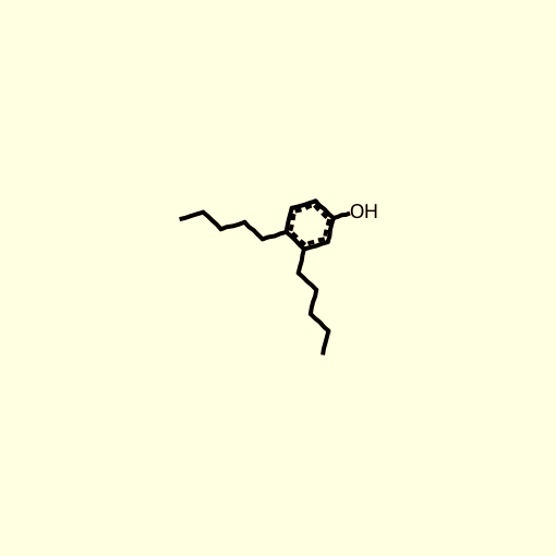 CCCCCc1ccc(O)cc1CCCCC